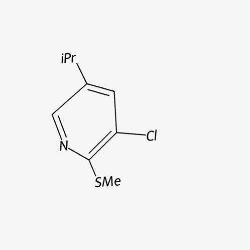 CSc1ncc(C(C)C)cc1Cl